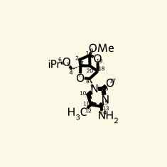 COC12C[C@]3(COC(C)C)O[C@@H](n4cc(C)c(N)nc4=O)C(O1)C23